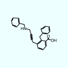 O=C(O)c1cccc(CC#CCNCc2ccccc2)c1Cc1ccccc1